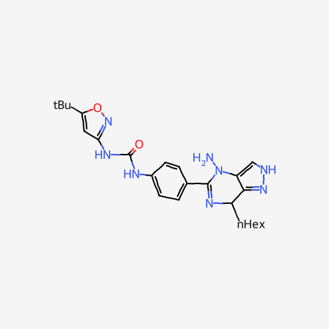 CCCCCCC1N=C(c2ccc(NC(=O)Nc3cc(C(C)(C)C)on3)cc2)N(N)c2c[nH]nc21